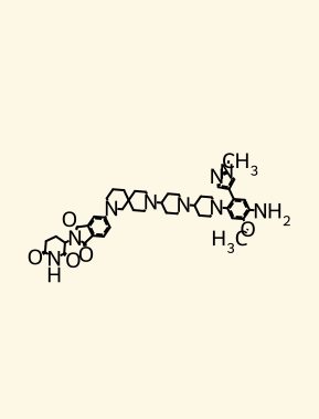 COc1cc(N2CCC(N3CCC(N4CCC5(CCCN(c6ccc7c(c6)C(=O)N(C6CCC(=O)NC6=O)C7=O)C5)CC4)CC3)CC2)c(-c2cnn(C)c2)cc1N